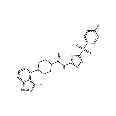 Cc1ccc(S(=O)(=O)c2csc(NC(=O)C3CCN(c4ncnc5[nH]cc(C)c45)CC3)n2)cc1